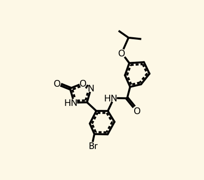 CC(C)Oc1cccc(C(=O)Nc2ccc(Br)cc2-c2noc(=O)[nH]2)c1